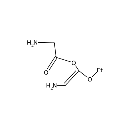 CCOC(=CN)OC(=O)CN